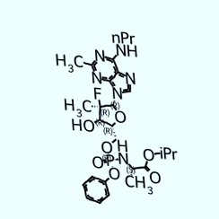 CCCNc1nc(C)nc2c1ncn2[C@@H]1O[C@H](CO[P@](=O)(N[C@@H](C)C(=O)OC(C)C)Oc2ccccc2)[C@@H](O)[C@@]1(C)F